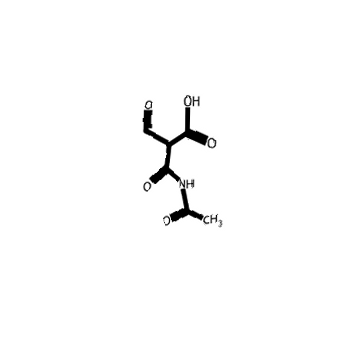 CC(=O)NC(=O)C(C=O)C(=O)O